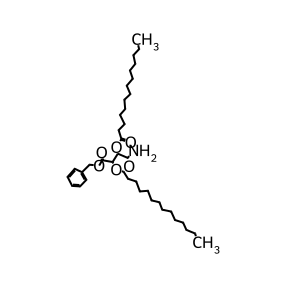 CCCCCCCCCCCCCC(=O)OC(CN)C(OC(=O)CCCCCCCCCCCCC)C(=O)OCc1ccccc1